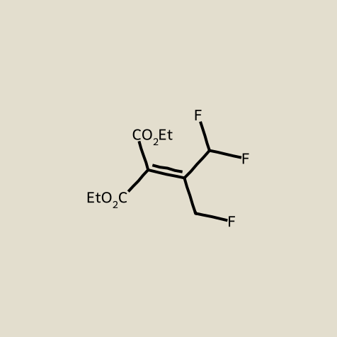 CCOC(=O)C(C(=O)OCC)=C(CF)C(F)F